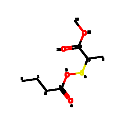 CCCC(=O)OSC(C)C(=O)OC